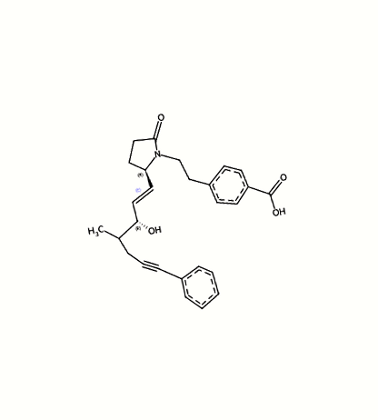 CC(CC#Cc1ccccc1)[C@@H](O)/C=C/[C@H]1CCC(=O)N1CCc1ccc(C(=O)O)cc1